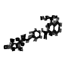 CN(C)c1nc(NC[C@H]2CC[C@H](CNS(=O)(=O)c3c(Cl)sc(Cl)c3Br)CC2)nc2ccccc12